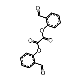 O=Cc1ccccc1OC(=O)C(=O)Oc1ccccc1C=O